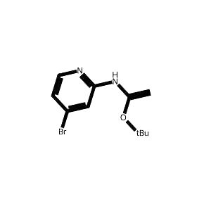 C=C(Nc1cc(Br)ccn1)OC(C)(C)C